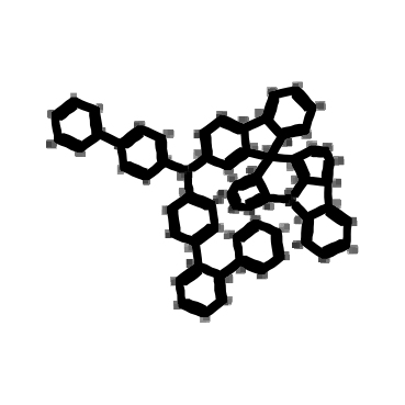 c1ccc(-c2ccc(N(c3ccc(-c4ccccc4-c4ccccc4)cc3)c3ccc4c(c3)C3(c5ccccc5-4)c4ccccc4-n4c5ccccc5c5cccc3c54)cc2)cc1